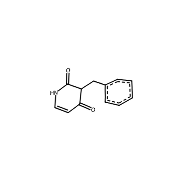 O=C1C=CNC(=O)C1Cc1ccccc1